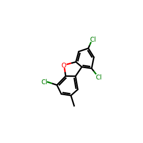 Cc1cc(Cl)c2oc3cc(Cl)cc(Cl)c3c2c1